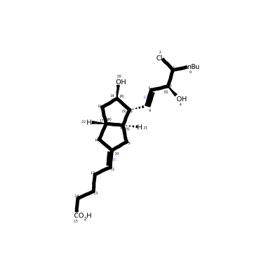 CCCCC(Cl)[C@@H](O)/C=C/[C@@H]1[C@H]2C/C(=C/CCCC(=O)O)C[C@@H]2C[C@H]1O